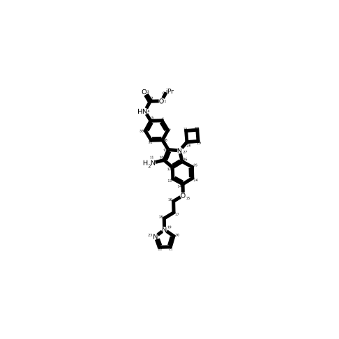 CC(C)OC(=O)Nc1ccc(-c2c(N)c3cc(OCCCn4cccn4)ccc3n2C2CCC2)cc1